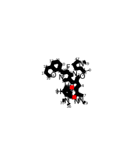 C[C@H](Oc1nc2c(F)c(-c3cccc4c3OCCC4)ncc2c2c1cc(-c1cn(C)nc1C(=O)N(C)C)n2[C@H]1[C@H]2CN[C@@H]1C2)C1CCCN1C